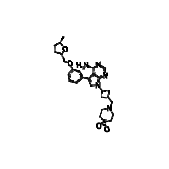 C[C@@H]1CC[C@H](COc2cccc(-c3cn(C4CC(CN5CCS(=O)(=O)CC5)C4)c4ncnc(N)c34)c2)O1